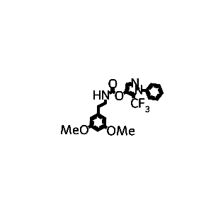 COc1cc(CCNC(=O)Oc2cnn(-c3ccccc3)c2C(F)(F)F)cc(OC)c1